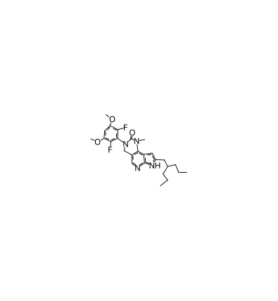 CCCC(CCC)Cc1cc2c3c(cnc2[nH]1)CN(c1c(F)c(OC)cc(OC)c1F)C(=O)N3C